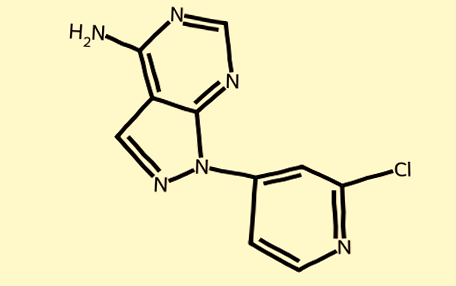 Nc1ncnc2c1cnn2-c1ccnc(Cl)c1